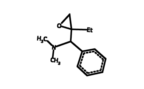 CCC1(C(c2ccccc2)N(C)C)CO1